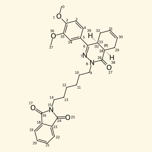 COc1ccc(C2=NN(CCCCCCN3C(=O)c4ccccc4C3=O)C(=O)[C@@H]3CC=CC[C@H]23)cc1OC